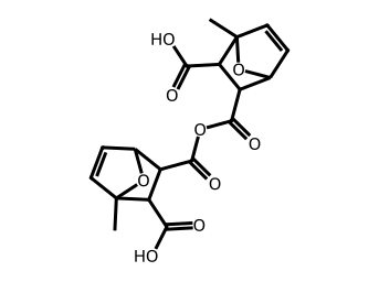 CC12C=CC(O1)C(C(=O)OC(=O)C1C3C=CC(C)(O3)C1C(=O)O)C2C(=O)O